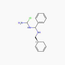 NC(Cl)NC(NC[C@@H]1C=CC=CC1)c1ccccc1